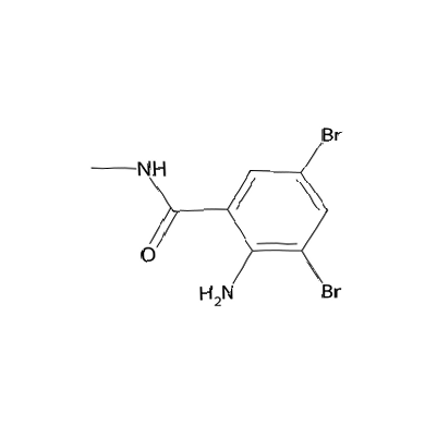 CNC(=O)c1cc(Br)cc(Br)c1N